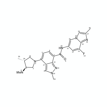 CN[C@@H]1CN(c2ccc(C(=O)Nc3cc(F)c4nc(C)cn4c3)c3nn(C)cc23)C[C@H]1C